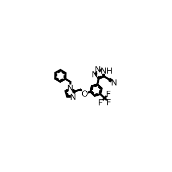 N#Cc1[nH]nnc1-c1cc(OCc2nccn2Cc2ccccc2)cc(C(F)(F)F)c1